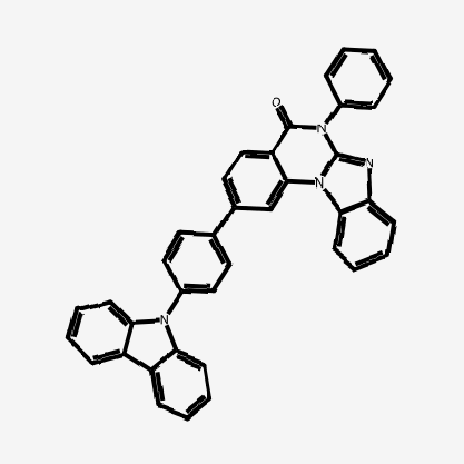 O=c1c2ccc(-c3ccc(-n4c5ccccc5c5ccccc54)cc3)cc2n2c3ccccc3nc2n1-c1ccccc1